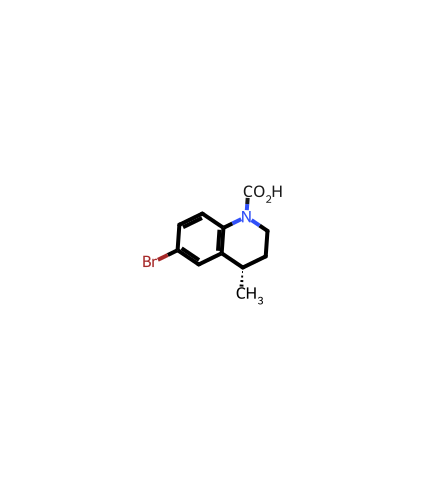 C[C@H]1CCN(C(=O)O)c2ccc(Br)cc21